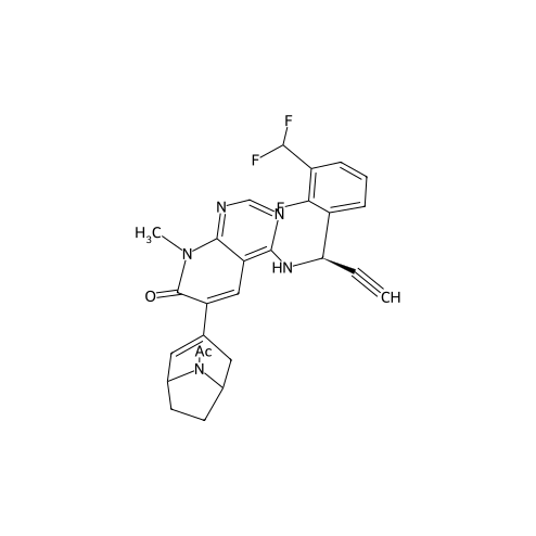 C#C[C@@H](Nc1ncnc2c1cc(C1=CC3CCC(C1)N3C(C)=O)c(=O)n2C)c1cccc(C(F)F)c1F